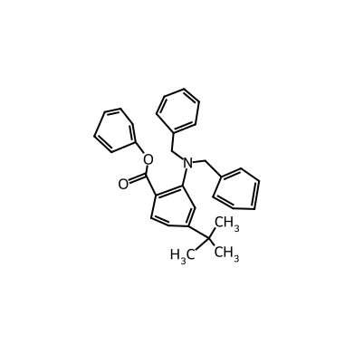 CC(C)(C)c1ccc(C(=O)Oc2ccccc2)c(N(Cc2ccccc2)Cc2ccccc2)c1